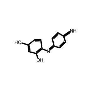 N=C1C=CC(=Nc2ccc(O)cc2O)C=C1